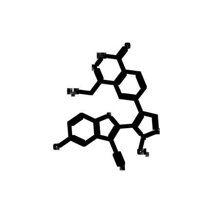 Cn1ncc(-c2ccc3c(=O)[nH]nc(CN)c3c2)c1-c1sc2ccc(Cl)cc2c1C#N